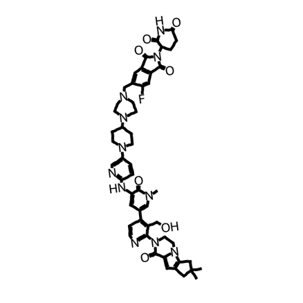 Cn1cc(-c2ccnc(N3CCn4c(cc5c4CC(C)(C)C5)C3=O)c2CO)cc(Nc2ccc(N3CCC(N4CCN(Cc5cc6c(cc5F)C(=O)N(C5CCC(=O)NC5=O)C6=O)CC4)CC3)cn2)c1=O